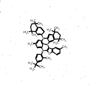 Cc1cc2c3c(c1)N(c1ccc(C(C)(C)C)cc1C)c1oc4ccc(C)cc4c1B3c1cc3c(cc1N2c1ccc2c(c1)C(C)(C)CCC2(C)C)C(C)(C)CCC3(C)C